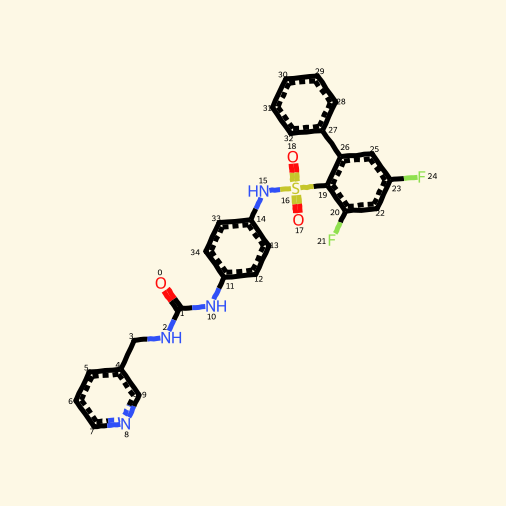 O=C(NCc1cccnc1)Nc1ccc(NS(=O)(=O)c2c(F)cc(F)cc2-c2ccccc2)cc1